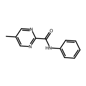 Cc1cnc(C(=O)Nc2ccccc2)nc1